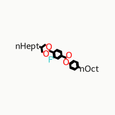 CCCCCCCCc1ccc(OC(=O)c2ccc(C3OCC(CCCCCCC)CO3)c(F)c2)cc1